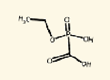 CCOP(=O)(O)C(=O)O